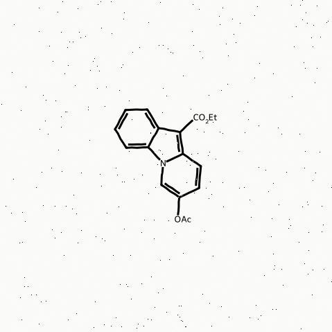 CCOC(=O)c1c2ccccc2n2cc(OC(C)=O)ccc12